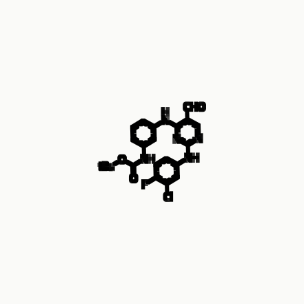 CC(C)(C)OC(=O)Nc1cccc(Nc2nc(Nc3ccc(F)c(Cl)c3)ncc2C=O)c1